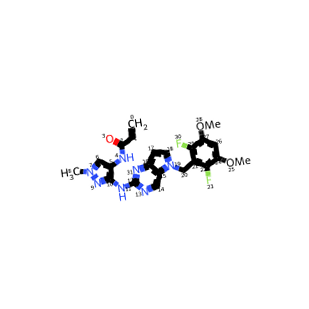 C=CC(=O)Nc1cn(C)nc1Nc1ncc2c(ccn2Cc2c(F)c(OC)cc(OC)c2F)n1